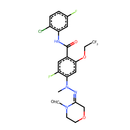 CN(/N=C1/COCCN1C=O)c1cc(OCC(F)(F)F)c(C(=O)Nc2cc(F)ccc2Cl)cc1F